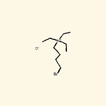 CC[N+](CC)(CC)CCCCBr.[Cl-]